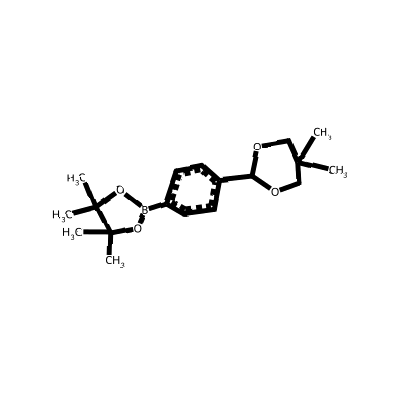 CC1(C)COC(c2ccc(B3OC(C)(C)C(C)(C)O3)cc2)OC1